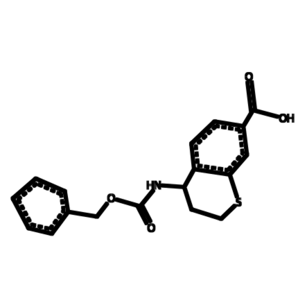 O=C(NC1CCSc2cc(C(=O)O)ccc21)OCc1ccccc1